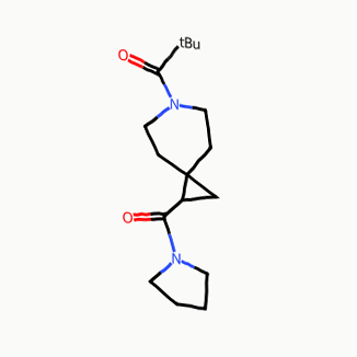 CC(C)(C)C(=O)N1CCC2(CC1)CC2C(=O)N1CCCC1